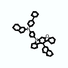 c1ccc(-c2ccc(N(c3ccc(-n4c5ccccc5c5c(-c6ccc7ccccc7c6)c6c(cc54)oc4ccccc46)cc3)c3ccc4ccccc4c3)cc2)cc1